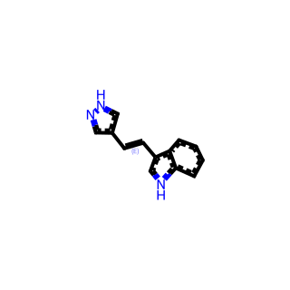 C(=C\c1c[nH]c2ccccc12)/c1cn[nH]c1